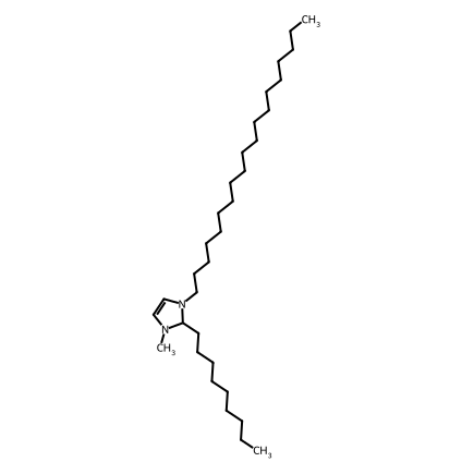 CCCCCCCCCCCCCCCCCCCN1C=CN(C)C1CCCCCCCCC